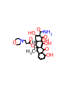 C[C@H]1c2cccc(O)c2C(=O)C2=C(O)[C@]3(O)C(=O)C(C(N)=O)=C(O)C[C@@H]3[C@@H](OC(=O)CCN3CCOCC3)[C@@H]21